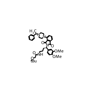 COc1ccc([C@@H](CCCNC(=O)COC(C)(C)C)N2C(=O)c3cccc(N4CCN([C@H](C)c5ccccc5)CC4)c3C2=O)cc1OC